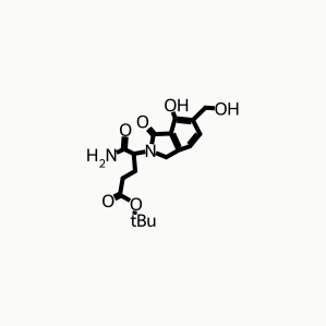 CC(C)(C)OC(=O)CCC(C(N)=O)N1Cc2ccc(CO)c(O)c2C1=O